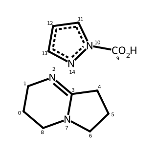 C1CN=C2CCCN2C1.O=C(O)n1cccn1